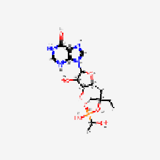 CCC(C)(C[C@H]1OC(n2cnc3c(=O)[nH]cnc32)[C@H](O)[C@@H]1O)OP(=O)(O)C(C)O